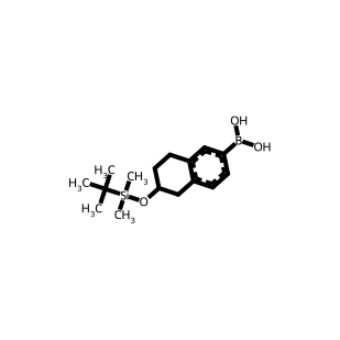 CC(C)(C)[Si](C)(C)OC1CCc2cc(B(O)O)ccc2C1